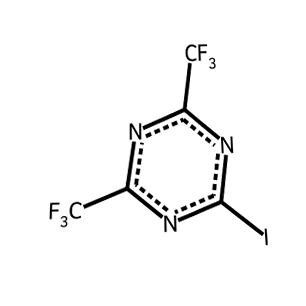 FC(F)(F)c1nc(I)nc(C(F)(F)F)n1